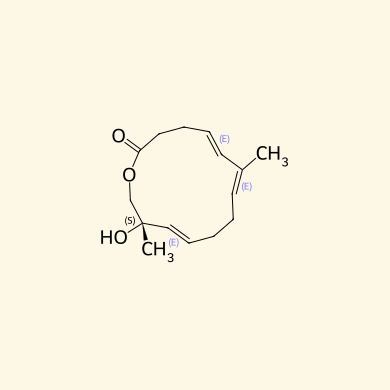 CC1=C\CC/C=C/[C@](C)(O)COC(=O)CC\C=C\1